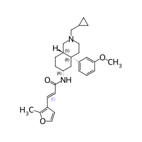 COc1cccc([C@@]23CCN(CC4CC4)C[C@H]2CC[C@@H](NC(=O)/C=C/c2ccoc2C)C3)c1